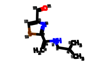 C=C(NCC(C)C)c1nc(C=O)cs1